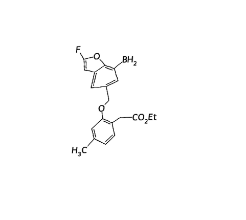 Bc1cc(COc2cc(C)ccc2CC(=O)OCC)cc2cc(F)oc12